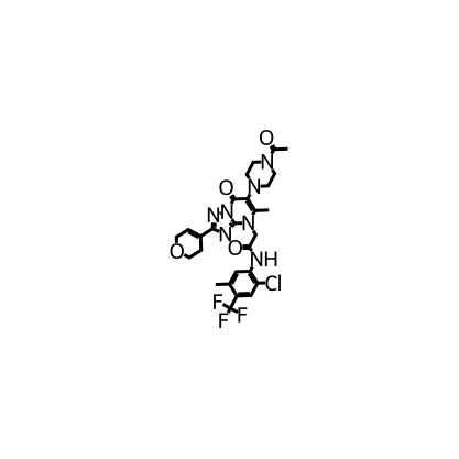 CC(=O)N1CCN(c2c(C)n(CC(=O)Nc3cc(C)c(C(F)(F)F)cc3Cl)c3nc(C4=CCOCC4)nn3c2=O)CC1